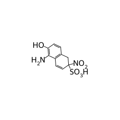 Nc1c(O)ccc2c1C=CC([N+](=O)[O-])(S(=O)(=O)O)C2